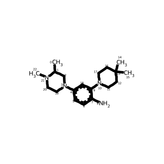 CC1CN(c2ccc(N)c(N3CCC(C)(C)CC3)c2)CCN1C